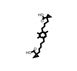 Cc1cc(CCCCCC2(C(=O)O)CC2)c(C)c(C)c1CCCCC1(C(=O)O)CC1